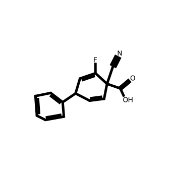 N#CC1(C(=O)O)C=CC(c2ccccc2)C=C1F